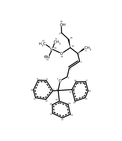 C[C@@H](C=CCOC(c1ccccc1)(c1ccccc1)c1ccccc1)[C@H](CCO)O[Si](C)(C)C(C)(C)C